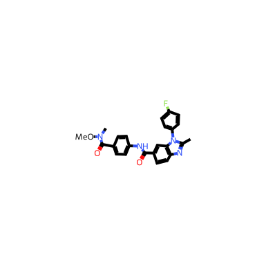 CON(C)C(=O)c1ccc(NC(=O)c2ccc3nc(C)n(-c4ccc(F)cc4)c3c2)cc1